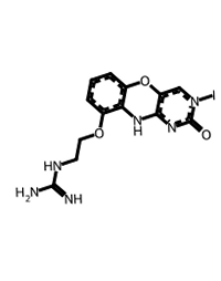 N=C(N)NCCOc1cccc2c1Nc1nc(=O)n(I)cc1O2